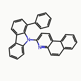 c1ccc(-c2cccc3c4ccccc4n(-c4ccc5c(ccc6ccccc65)n4)c23)cc1